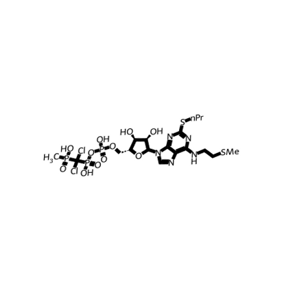 CCCSc1nc(NCCSC)c2ncn(C3O[C@H](COP(=O)(O)OP(=O)(O)C(Cl)(Cl)P(C)(=O)O)[C@@H](O)[C@H]3O)c2n1